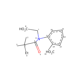 CCC(C)(C)C(=O)N(CC(=O)O)c1ccccc1C(=O)O